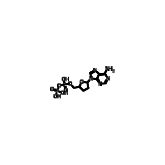 Nc1ncnc2c1ncn2C1CCC(COP(=O)(O)OP(=O)(O)O)O1